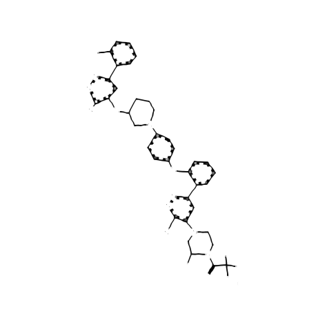 CC1CN(c2cc(-c3ccccc3Oc3ccc(N4CCCC(Oc5cc(-c6ccccc6O)nnc5N)C4)cc3)nnc2N)CCN1C(=O)C(C)(C)O